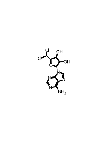 Nc1ncnc2c1ncn2[C@@H]1O[C@H](C(Cl)Cl)C(O)C1O